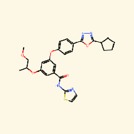 COCC(C)Oc1cc(Oc2ccc(-c3nnc(C4CCCC4)o3)cc2)cc(C(=O)Nc2nccs2)c1